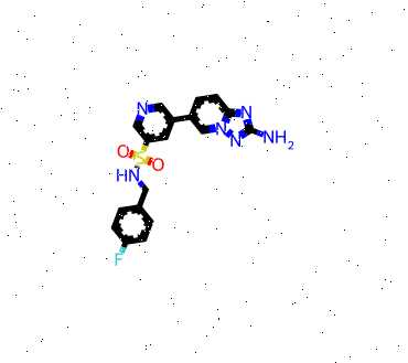 Nc1nc2ccc(-c3cncc(S(=O)(=O)NCc4ccc(F)cc4)c3)cn2n1